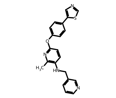 Cc1nc(Oc2ccc(-c3cncs3)cc2)ccc1NCc1cccnc1